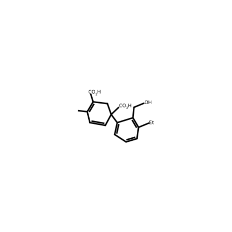 CCc1cccc(C2(C(=O)O)C=CC(C)=C(C(=O)O)C2)c1CO